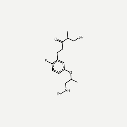 CC(C)NCC(C)Oc1ccc(F)c(CCC(=O)C(C)CS)c1